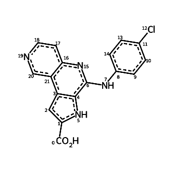 O=C(O)c1cc2c([nH]1)c(Nc1ccc(Cl)cc1)nc1ccncc12